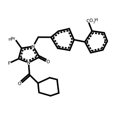 CCCc1c(F)n(C(=O)C2CCCCC2)c(=O)n1Cc1ccc(-c2ccccc2C(=O)O)cc1